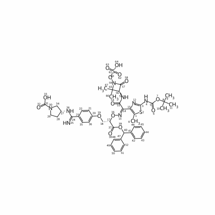 Cc1sc(NC(=O)OC(C)(C)C)nc1/C(=N/O[C@@H](COc1ccc(C(=N)N[C@@H]2CCN(C(=O)O)C2)cc1)C(=O)OC(c1ccccc1)c1ccccc1)C(=O)N[C@@H]1C(=O)N(OS(=O)(=O)O)C1(C)C